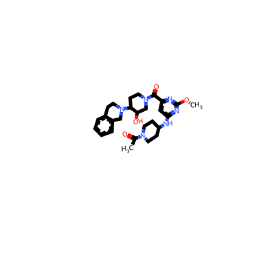 COc1nc(NC2CCN(C(C)=O)CC2)cc(C(=O)N2CCC(N3CCc4ccccc4C3)C(O)C2)n1